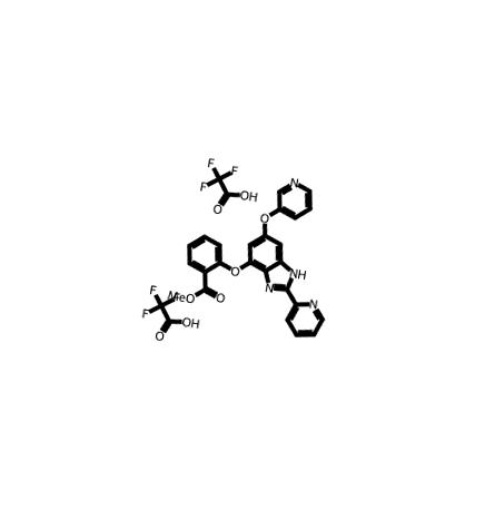 COC(=O)c1ccccc1Oc1cc(Oc2cccnc2)cc2[nH]c(-c3ccccn3)nc12.O=C(O)C(F)(F)F.O=C(O)C(F)(F)F